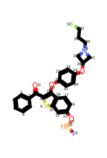 O=C(c1ccccc1)c1sc2cc(OPI)ccc2c1Oc1ccc(OC2CN(CCCF)C2)cc1